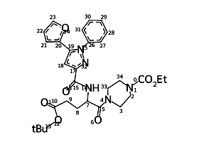 CCOC(=O)N1CCN(C(=O)C(CCC(=O)OC(C)(C)C)NC(=O)c2cc(-c3ccco3)n(-c3ccccc3)n2)CC1